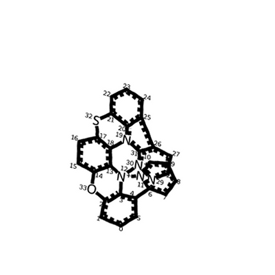 c1cc2c3c(c1)-c1cccc[n+]1[N+]31c3c(ccc4c3-n3c5c(cccc5c5ccn[n+]1c53)S4)O2